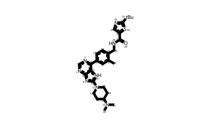 Cc1cc(-c2ncnc3nc(N4CCC(N(C)C)CC4)[nH]c23)ccc1CNC(=O)c1cnc(C(C)(C)C)s1